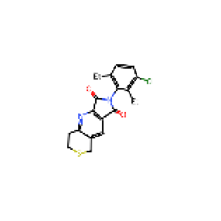 CCc1ccc(Cl)c(CC)c1N1C(=O)c2cc3c(nc2C1=O)CCSC3